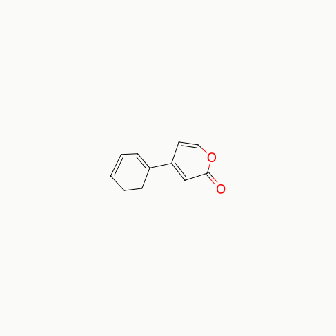 O=c1cc(C2=CC=CCC2)cco1